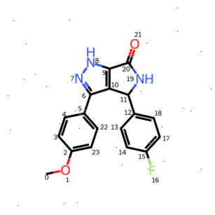 COc1ccc(-c2n[nH]c3c2C(c2ccc(F)cc2)NC3=O)cc1